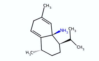 CC1=C[C@@]2(N)C(=CC1)[C@@H](C)CC[C@@H]2C(C)C